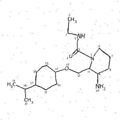 CCNC(=O)N1CCCC(N)C1COC1CCC(C(C)C)CC1